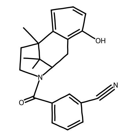 CC12CCN(C(=O)c3cccc(C#N)c3)C(Cc3c(O)cccc31)C2(C)C